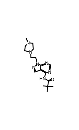 CN1CCN(CCn2ncc3c(NC(=O)C(C)(C)C)ncnc32)CC1